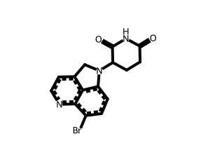 O=C1CCC(N2Cc3ccnc4c(Br)ccc2c34)C(=O)N1